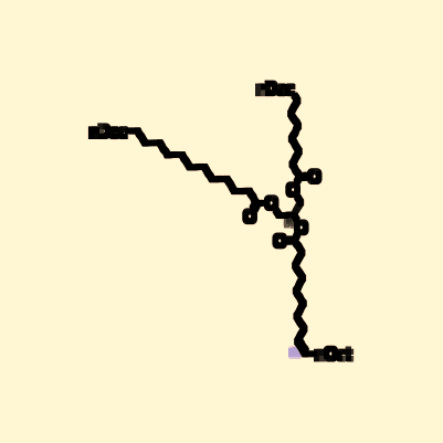 CCCCCCCC/C=C\CCCCCCCC(=O)O[C@H](COC(=O)CCCCCCCCCCCCCCCC)COC(=O)CCCCCCCCCCCCCCCCCCCCC